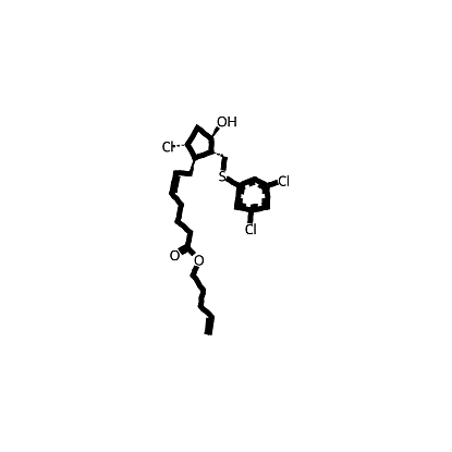 C=CCCCOC(=O)CCC/C=C\C[C@@H]1[C@@H](CSc2cc(Cl)cc(Cl)c2)[C@H](O)C[C@H]1Cl